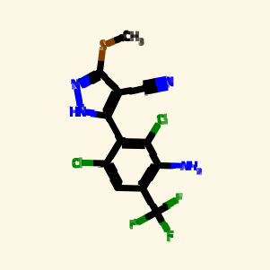 CSc1n[nH]c(-c2c(Cl)cc(C(F)(F)F)c(N)c2Cl)c1C#N